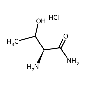 CC(O)[C@H](N)C(N)=O.Cl